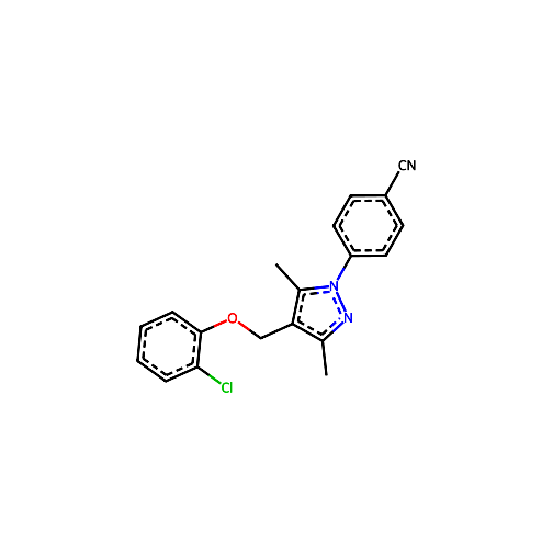 Cc1nn(-c2ccc(C#N)cc2)c(C)c1COc1ccccc1Cl